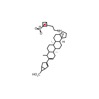 CC1C(C2=CC3C(C2)C3C(=O)O)=CC[C@@]2(C)C1CC[C@@]1(C)C3CC[C@@]4(NCCN5CC6([SH](=O)=O)CC5C6)CCC[C@@H]4[C@H]3CCC21